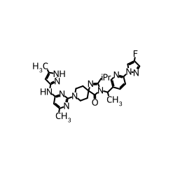 Cc1cc(Nc2cc(C)[nH]n2)nc(N2CCC3(CC2)N=C(C(C)C)N(C(C)c2ccc(-n4cc(F)cn4)nc2)C3=O)n1